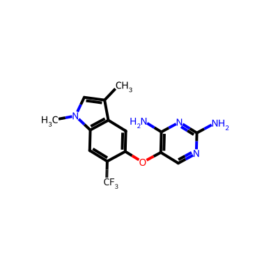 Cc1cn(C)c2cc(C(F)(F)F)c(Oc3cnc(N)nc3N)cc12